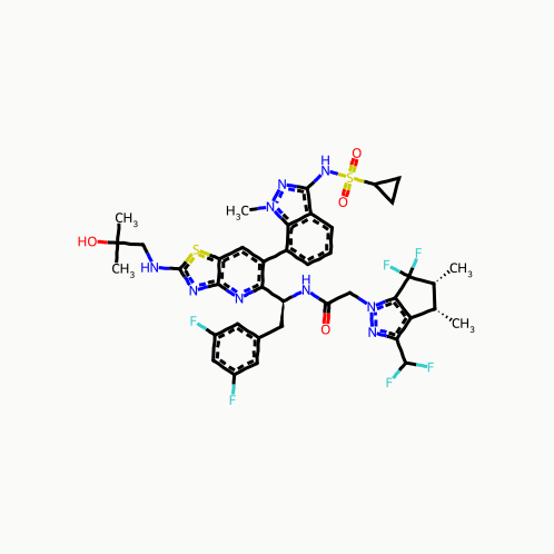 C[C@@H]1c2c(C(F)F)nn(CC(=O)N[C@@H](Cc3cc(F)cc(F)c3)c3nc4nc(NCC(C)(C)O)sc4cc3-c3cccc4c(NS(=O)(=O)C5CC5)nn(C)c34)c2C(F)(F)[C@@H]1C